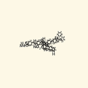 CCc1ccccc1[C@@H]1CCCN1C1CC2(CCN(c3ccc(C(=O)NS(=O)(=O)c4ccc(NCC5CCC(C)(OC)CC5)c([N+](=O)[O-])c4)c(N4c5cc6cc[nH]c6nc5O[C@H]5COCC[C@@H]54)c3)CC2)C1